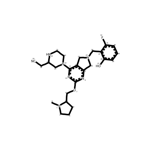 CN1CCCC1COc1nc2c(c(N3CCNC(CC#N)C3)n1)CN(Cc1c(O)cccc1F)C2